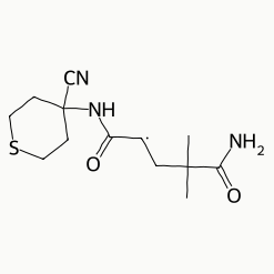 CC(C)(C[CH]C(=O)NC1(C#N)CCSCC1)C(N)=O